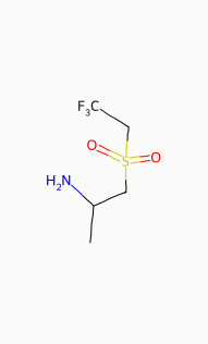 CC(N)CS(=O)(=O)CC(F)(F)F